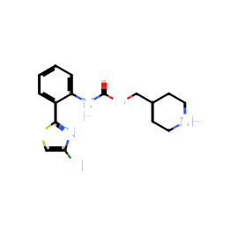 O=C(Nc1ccccc1-c1nc(Cl)cs1)OCC1CCNCC1